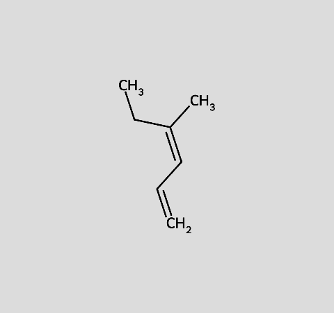 C=CC=C(C)CC